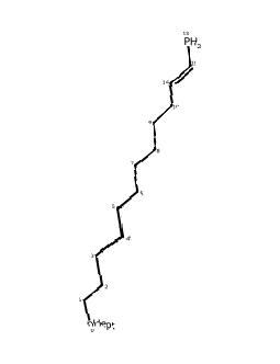 CCCCCCCCCCCCCCCCCC=CP